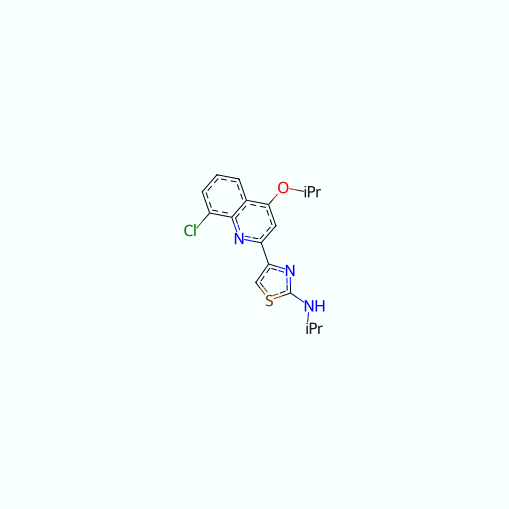 CC(C)Nc1nc(-c2cc(OC(C)C)c3cccc(Cl)c3n2)cs1